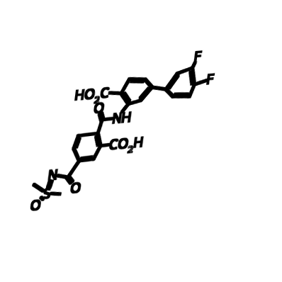 CS(C)(=O)=NC(=O)c1ccc(C(=O)Nc2cc(-c3ccc(F)c(F)c3)ccc2C(=O)O)c(C(=O)O)c1